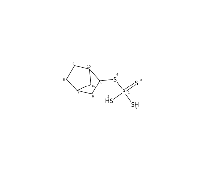 S=P(S)(S)SC1CC2CCC1C2